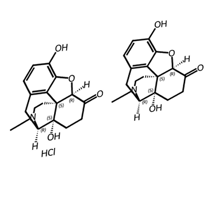 CN1CC[C@]23c4c5ccc(O)c4O[C@H]2C(=O)CC[C@@]3(O)[C@H]1C5.CN1CC[C@]23c4c5ccc(O)c4O[C@H]2C(=O)CC[C@@]3(O)[C@H]1C5.Cl